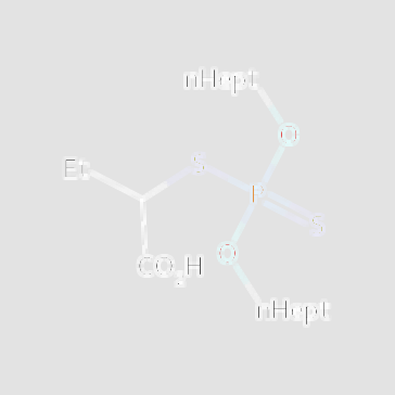 CCCCCCCOP(=S)(OCCCCCCC)SC(CC)C(=O)O